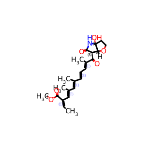 C\C=C(/C=C(C)/C=C(C)/C=C/C=C(\C)C(=O)[C@H]1C(=O)N[C@]2(O)CCO[C@H]12)C(=O)OC